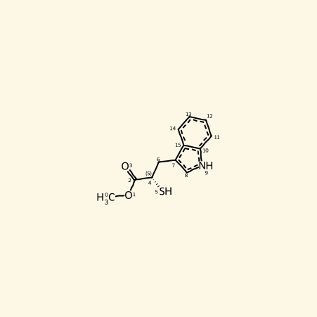 COC(=O)[C@@H](S)Cc1c[nH]c2ccccc12